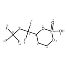 O=P1(O)OCCC(C(F)(F)CC(F)(F)F)O1